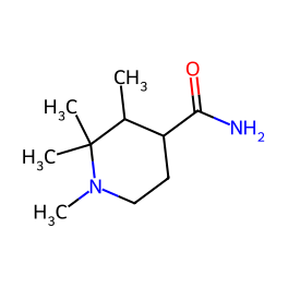 CC1C(C(N)=O)CCN(C)C1(C)C